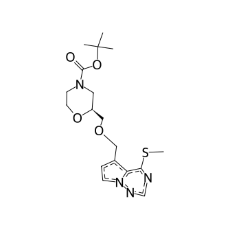 CSc1ncnn2ccc(COC[C@@H]3CN(C(=O)OC(C)(C)C)CCO3)c12